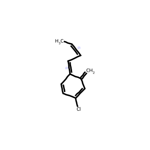 C=c1cc(Cl)cc/c1=C/C=C\C